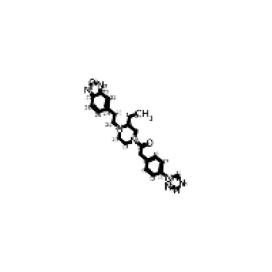 CCC1CN(C(=O)Cc2ccc(-n3cnnn3)cc2)CCN1CCc1ccc2nonc2c1